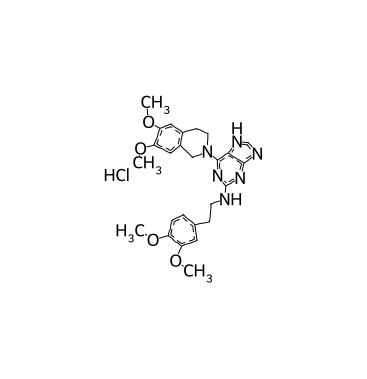 COc1ccc(CCNc2nc(N3CCc4cc(OC)c(OC)cc4C3)c3[nH]cnc3n2)cc1OC.Cl